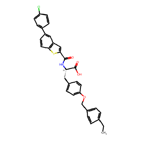 CCc1ccc(COc2ccc(C[C@H](NC(=O)c3cc4cc(-c5ccc(Cl)cc5)ccc4s3)C(=O)O)cc2)cc1